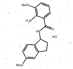 COc1ccc2c(c1)CCC2NC(=O)c1cccc(OC)c1N.Cl